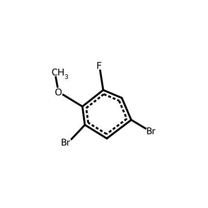 COc1c(F)cc(Br)cc1Br